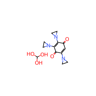 O=C1C=C(N2CC2)C(=O)C(N2CC2)=C1N1CC1.OC(O)O